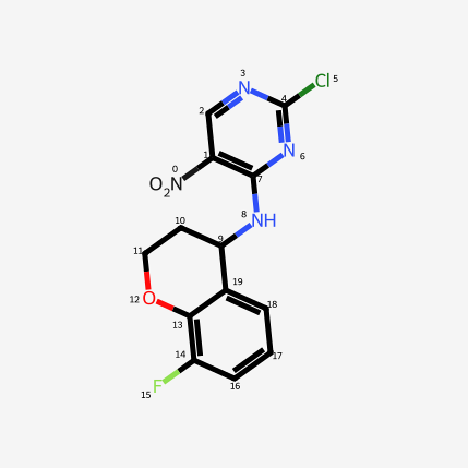 O=[N+]([O-])c1cnc(Cl)nc1NC1CCOc2c(F)cccc21